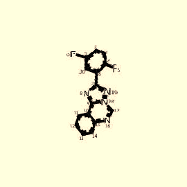 Fc1ccc(F)c(-c2nc3c4ccccc4ncn3n2)c1